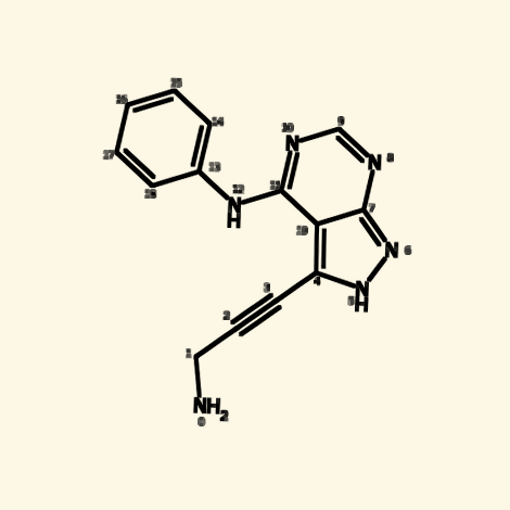 NCC#Cc1[nH]nc2ncnc(Nc3ccccc3)c12